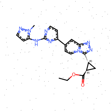 CCOC(=O)[C@@H]1C[C@H]1c1nnc2cc(-c3ccnc(Nc4ccnn4C)n3)ccn12